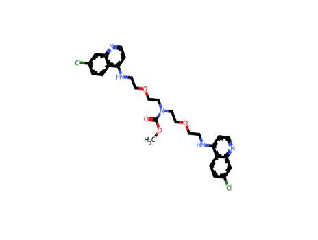 COC(=O)N(CCOCCNc1ccnc2cc(Cl)ccc12)CCOCCNc1ccnc2cc(Cl)ccc12